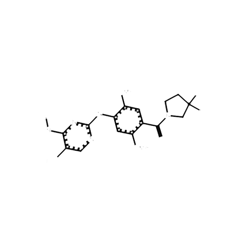 CCNc1nc(Nc2cc(OC)c(C(=O)N3CCC(F)(F)C3)cc2OC)ncc1C(F)(F)F